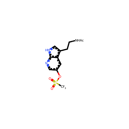 CC(=O)NCCc1c[nH]c2ncc(OS(=O)(=O)C(F)(F)F)cc12